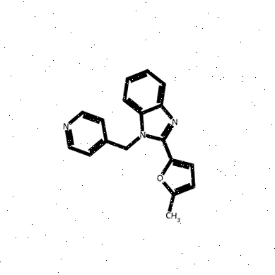 Cc1ccc(-c2nc3ccccc3n2Cc2ccncc2)o1